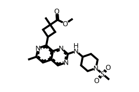 COC(=O)C1(C)CC(c2nc(C)cc3cnc(NC4CCN(S(C)(=O)=O)CC4)nc23)C1